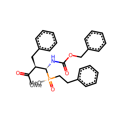 COC(=O)[C@@H](Cc1ccccc1)[C@H](NC(=O)OCc1ccccc1)[P@](=O)(CCc1ccccc1)OC